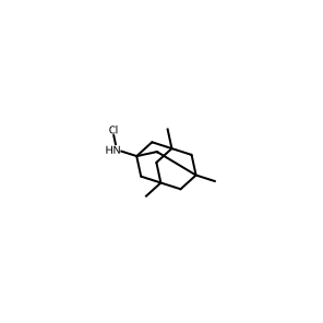 CC12CC3(C)CC(C)(C1)CC(NCl)(C2)C3